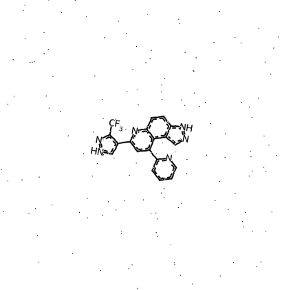 FC(F)(F)c1n[nH]cc1-c1cc(-c2ccccn2)c2c(ccc3[nH]ncc32)n1